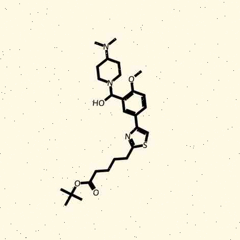 COc1ccc(-c2csc(CCCCC(=O)OC(C)(C)C)n2)cc1C(O)N1CCC(N(C)C)CC1